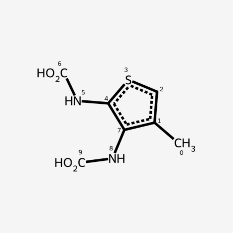 Cc1csc(NC(=O)O)c1NC(=O)O